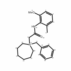 COc1cccc(C)c1NC(=O)C[N+]1(Cc2ccccc2)CCCCCC1